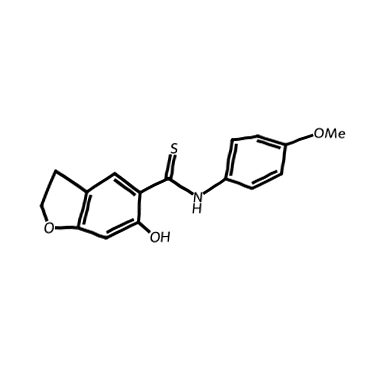 COc1ccc(NC(=S)c2cc3c(cc2O)OCC3)cc1